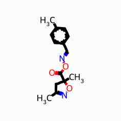 CC1=NOC(C)(C(=O)O/N=C/c2ccc(C)cc2)C1